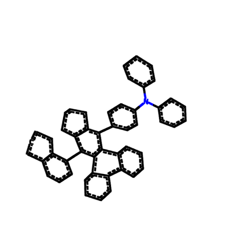 c1ccc(N(c2ccccc2)c2ccc(-c3c4ccccc4c(-c4cccc5ccccc45)c4c5ccccc5c5ccccc5c34)cc2)cc1